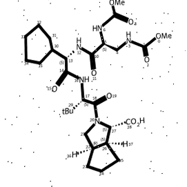 COC(=O)NC[C@H](NC(=O)OC)C(=O)N[C@H](C(=O)N[C@H](C(=O)N1C[C@@H]2CCC[C@@H]2[C@H]1C(=O)O)C(C)(C)C)C1CCCCC1